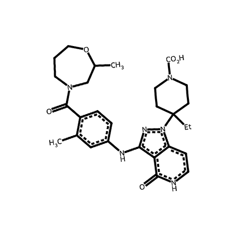 CCC1(n2nc(Nc3ccc(C(=O)N4CCCOC(C)C4)c(C)c3)c3c(=O)[nH]ccc32)CCN(C(=O)O)CC1